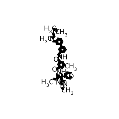 CCc1nc2c(cnn2CC)c(NC2CCOCC2)c1CNC(=O)c1cc(C)cc(C(=O)NCc2cccc(-c3cccc(CN(C)CCN(C)C)c3)c2)c1